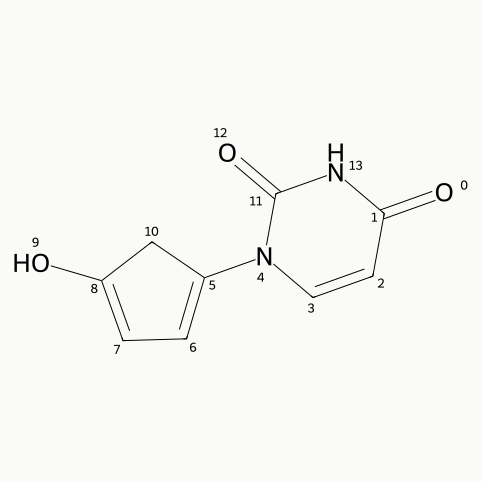 O=c1ccn(C2=CC=C(O)C2)c(=O)[nH]1